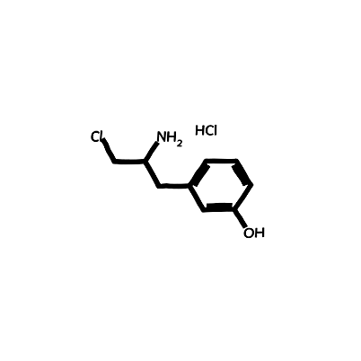 Cl.NC(CCl)Cc1cccc(O)c1